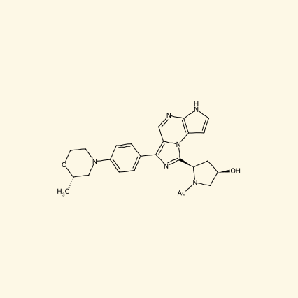 CC(=O)N1C[C@H](O)C[C@@H]1c1nc(-c2ccc(N3CCO[C@@H](C)C3)cc2)c2cnc3[nH]ccc3n12